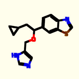 c1ncc(COC(CC2CC2)c2ccc3ncsc3c2)[nH]1